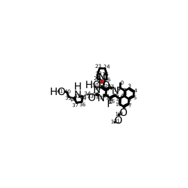 CCc1cccc2cc(OCOC)cc(-c3ncc4c(N5CC6CCC(C5)N6C(=O)O)nc(OC[C@@H]5CC[C@@H](CCO)N5)nc4c3F)c12